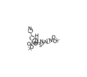 CC(C)(C)OC(=O)Nc1ccc(-c2ccncc2)cc1NC(=O)c1nc(N2CCN(C(=O)OC(C)(C)C)CC2)cs1